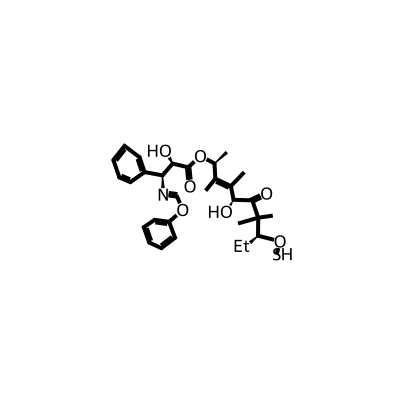 CC[C@H](OS)C(C)(C)C(=O)[C@H](O)/C(C)=C(\C)[C@H](C)OC(=O)[C@H](O)[C@@H](N=COc1ccccc1)c1ccccc1